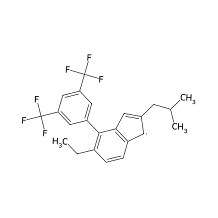 CCc1ccc2c(c1-c1cc(C(F)(F)F)cc(C(F)(F)F)c1)C=C(CC(C)C)[CH]2